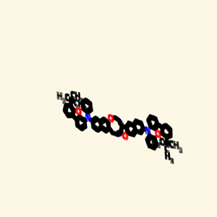 CC(C)(C)c1cccc2c1oc1c(N(c3ccccc3)c3ccc4cc5c(cc4c3)OC/C=c3\c(oc4cc6c(cc34)C=CC(N(c3ccccc3)c3cccc4c3OC3C4C=CCC3C(C)(C)C)C6)=C/C5)cccc12